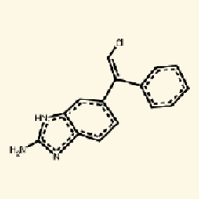 Nc1nc2ccc(C(=CCl)c3ccccc3)cc2[nH]1